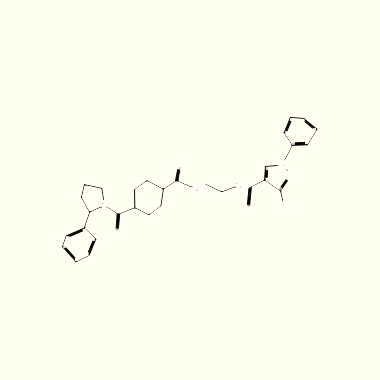 O=C(NCCNC(=O)C1CCC(C(=O)N2CCCC2c2ccccc2)CC1)c1cn(-c2ccccc2)nc1C(F)(F)F